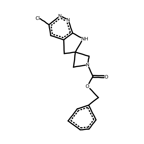 O=C(OCc1ccccc1)N1CC2(Cc3cc(Cl)nnc3N2)C1